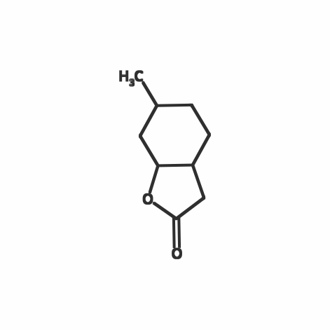 CC1CCC2CC(=O)OC2C1